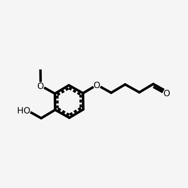 COc1cc(OCCCC=O)ccc1CO